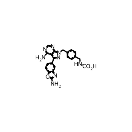 Nc1nc2cc(-c3nn(Cc4ccc(CNC(=O)O)cc4)c4ncnc(N)c34)ccc2o1